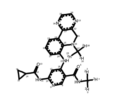 [2H]C([2H])([2H])NC(=O)c1cnc(NC(=O)C2CC2)cc1Nc1cccc2c1N(C([2H])([2H])[2H])Cc1nccnc1-2